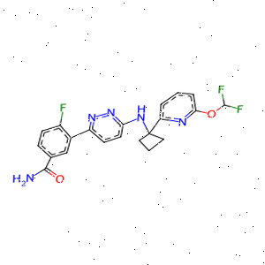 NC(=O)c1ccc(F)c(-c2ccc(NC3(c4cccc(OC(F)F)n4)CCC3)nn2)c1